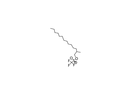 CCCCCCCCCCCCC(C)COS(=O)(=O)C(F)(F)F